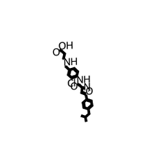 CC(C)Cc1ccc(-c2cc(C(=O)Nc3ccc(CNCCC(=O)O)cc3Cl)no2)cc1